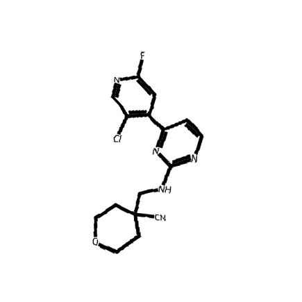 N#CC1(CNc2nccc(-c3cc(F)ncc3Cl)n2)CCOCC1